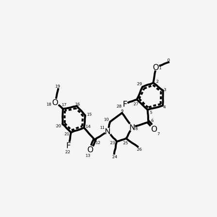 COc1ccc(C(=O)N2CCN(C(=O)c3ccc(OC)cc3F)C(C)C2C)c(F)c1